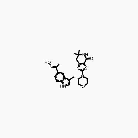 C/C(=N\O)c1ccc2[nH]cc(C[C@H]3COCCN3c3nc4c(s3)C(=O)NC(C)(C)C4)c2c1